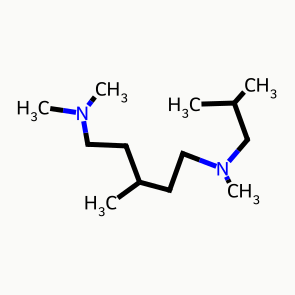 CC(C)CN(C)CCC(C)CCN(C)C